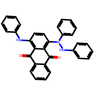 O=C1c2ccccc2C(=O)c2c(N(Nc3ccccc3)c3ccccc3)ccc(Nc3ccccc3)c21